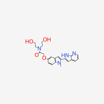 Cn1c(-c2cc3cccnc3[nH]2)cc2cc(OCC(=O)N(CCO)CCO)ccc21